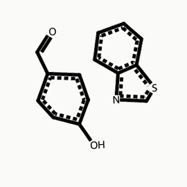 O=Cc1ccc(O)cc1.c1ccc2scnc2c1